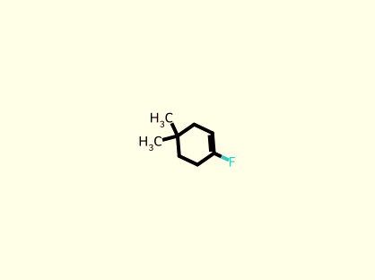 CC1(C)CC=C(F)CC1